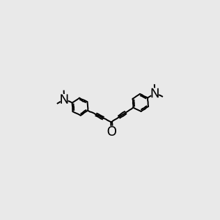 CN(C)c1ccc(C#CC(=O)C#Cc2ccc(N(C)C)cc2)cc1